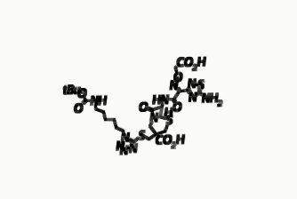 CC(C)(C)OC(=O)NCCCCCCn1nnnc1SCC1(C(=O)O)CS[C@@H]2C(NC(=O)C(=NOCC(=O)O)c3nsc(N)n3)C(=O)N2C1